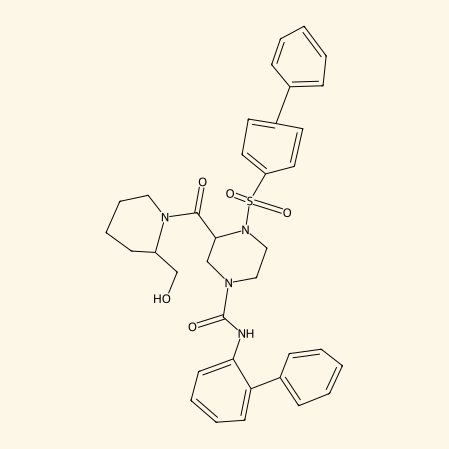 O=C(Nc1ccccc1-c1ccccc1)N1CCN(S(=O)(=O)c2ccc(-c3ccccc3)cc2)C(C(=O)N2CCCCC2CO)C1